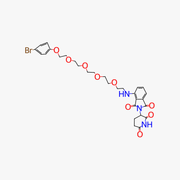 O=C1CCC(N2C(=O)c3cccc(NCCOCCOCCOCCOCCOc4ccc(Br)cc4)c3C2=O)C(=O)N1